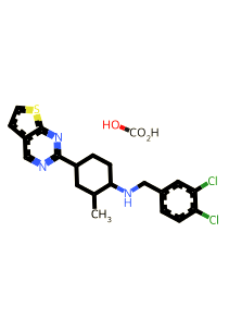 CC1CC(c2ncc3ccsc3n2)CCC1NCc1ccc(Cl)c(Cl)c1.O=C(O)O